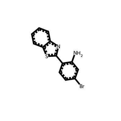 Nc1cc(Br)ccc1-c1nc2ccccc2s1